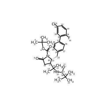 CC(C)(C)OC(=O)N1C(=O)CC(C(C)(C)N[S+]([O-])C(C)(C)C)[C@H]1Cc1ccc(-c2cc(Cl)ccc2F)cc1